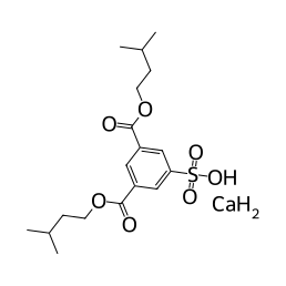 CC(C)CCOC(=O)c1cc(C(=O)OCCC(C)C)cc(S(=O)(=O)O)c1.[CaH2]